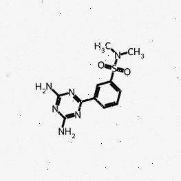 CN(C)S(=O)(=O)c1cccc(-c2nc(N)nc(N)n2)c1